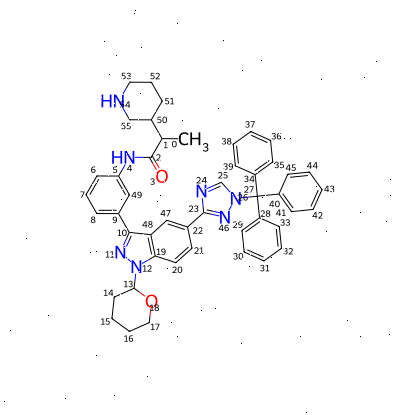 CC(C(=O)Nc1cccc(-c2nn(C3CCCCO3)c3ccc(-c4ncn(C(c5ccccc5)(c5ccccc5)c5ccccc5)n4)cc23)c1)C1CCCNC1